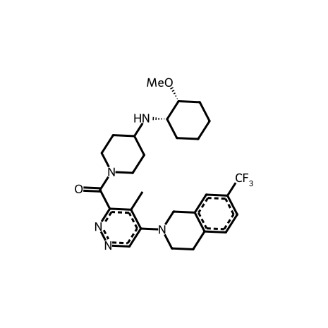 CO[C@@H]1CCCC[C@@H]1NC1CCN(C(=O)c2nncc(N3CCc4ccc(C(F)(F)F)cc4C3)c2C)CC1